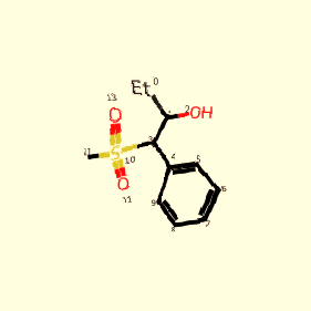 CCC(O)C(c1ccccc1)S(C)(=O)=O